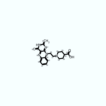 C=c1nc2c(c(=O)[nH]1)=Nc1ccccc1N2CCN1CCC(C(=O)O)CC1